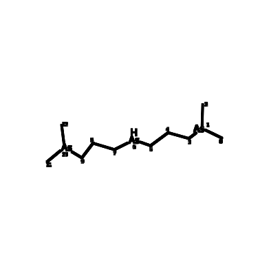 C[As](C)CCC[AsH]CCC[As](C)C